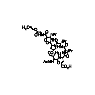 C=CCOC(=O)CNC(=O)C(=O)[C@H](CCC)NC(=O)[C@@H]1CCCN1C(=O)[C@@H](NC(=O)[C@@H](NC(=O)[C@H](CCC(=O)O)NC(=O)[C@H](CCC(=O)O)NC(C)=O)C(C)C)C(C)C